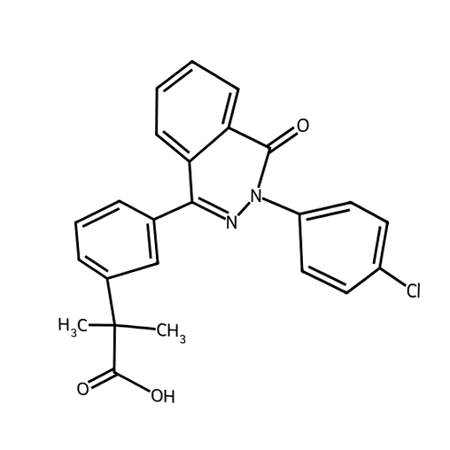 CC(C)(C(=O)O)c1cccc(-c2nn(-c3ccc(Cl)cc3)c(=O)c3ccccc23)c1